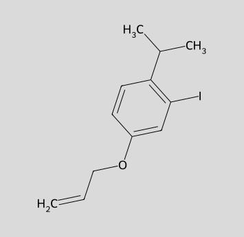 C=CCOc1ccc(C(C)C)c(I)c1